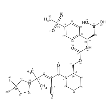 CC(C)(C=C(C#N)C(=O)N1CCCC[C@@H]1COC(=O)N[C@H](CB(O)O)c1ccc(S(C)(=O)=O)cc1)N1CCC(F)(F)C1